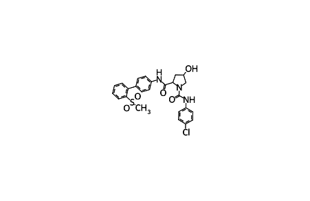 CS(=O)(=O)c1ccccc1-c1ccc(NC(=O)C2CC(O)CN2C(=O)Nc2ccc(Cl)cc2)cc1